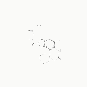 COC(=O)CN(C)C(=O)c1nc2cc(Cl)c3c(c2o1)C1(CCCCC1)NC(=O)N3